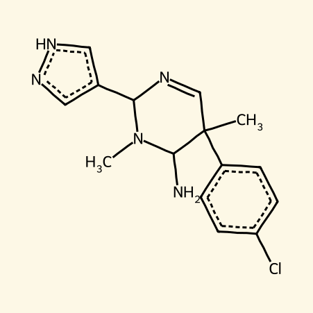 CN1C(c2cn[nH]c2)N=CC(C)(c2ccc(Cl)cc2)C1N